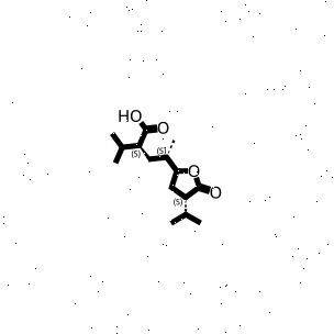 CC(C)[C@H](C[C@H](C)C1C[C@@H](C(C)C)C(=O)O1)C(=O)O